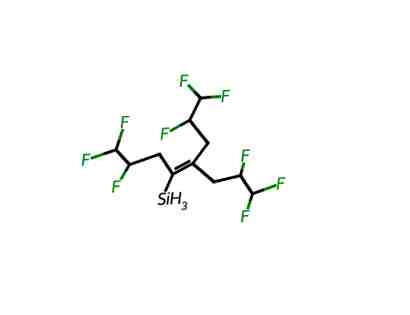 FC(F)C(F)CC([SiH3])=C(CC(F)C(F)F)CC(F)C(F)F